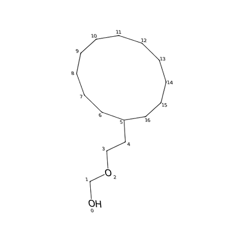 OCOCCC1CCCCCCCCCCC1